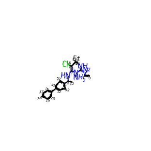 C=C/N=C(/N)N(N)/C(NC(C)c1ccc(-c2ccccc2)cc1)=C(/Cl)C(=C)CC